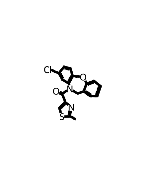 Cc1nc(C(=O)N2Cc3ccccc3Oc3ccc(Cl)cc32)cs1